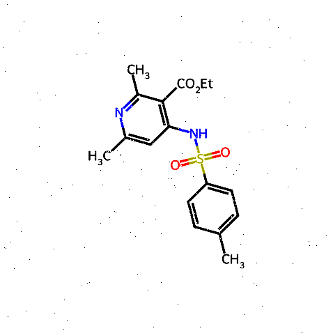 CCOC(=O)c1c(NS(=O)(=O)c2ccc(C)cc2)cc(C)nc1C